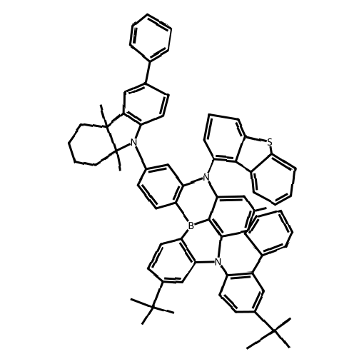 Cc1cc2c3c(c1)N(c1cccc4sc5ccccc5c14)c1cc(N4c5ccc(-c6ccccc6)cc5C5(C)CCCCC45C)ccc1B3c1ccc(C(C)(C)C)cc1N2c1ccc(C(C)(C)C)cc1-c1ccccc1